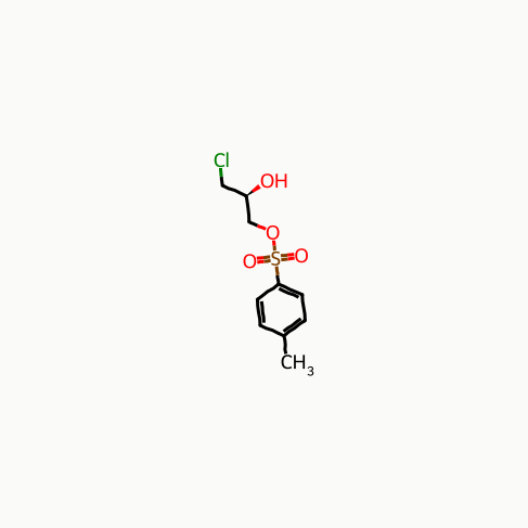 Cc1ccc(S(=O)(=O)OC[C@H](O)CCl)cc1